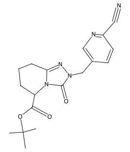 CC(C)(C)OC(=O)C1CCCc2nn(Cc3ccc(C#N)nc3)c(=O)n21